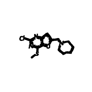 CSc1nc(Cl)nc2cc(CN3CCCCC3)oc12